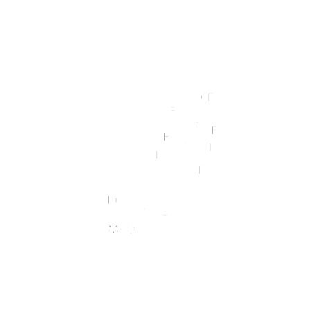 CC[Si](CC)(CCC(F)(F)C(F)(F)C(F)(F)C(F)(F)F)OC